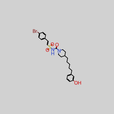 O=C(NS(=O)(=O)C=Cc1ccc(Br)cc1)N1CCC(CCCCCc2cccc(O)c2)CC1